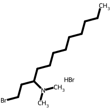 Br.CCCCCCCCCC(CCBr)N(C)C